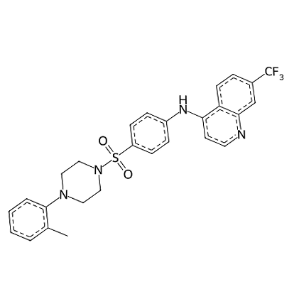 Cc1ccccc1N1CCN(S(=O)(=O)c2ccc(Nc3ccnc4cc(C(F)(F)F)ccc34)cc2)CC1